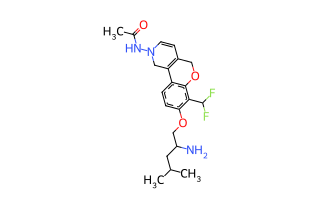 CC(=O)NN1C=CC2=C(C1)c1ccc(OCC(N)CC(C)C)c(C(F)F)c1OC2